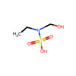 CCN(CO)S(=O)(=O)O